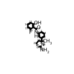 CC1(c2cccc(NC(=O)c3c(O)cccc3F)c2)CCSC(N)=N1